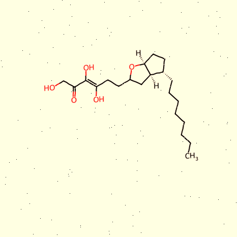 CCCCCCCC[C@H]1CC[C@@H]2OC(CCC(O)=C(O)C(=O)CO)C[C@H]12